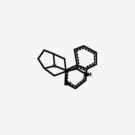 OCC1(O)CC2CCC(C1)N2c1cccc2ccccc12